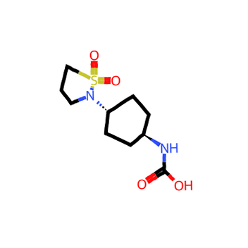 O=C(O)N[C@H]1CC[C@H](N2CCCS2(=O)=O)CC1